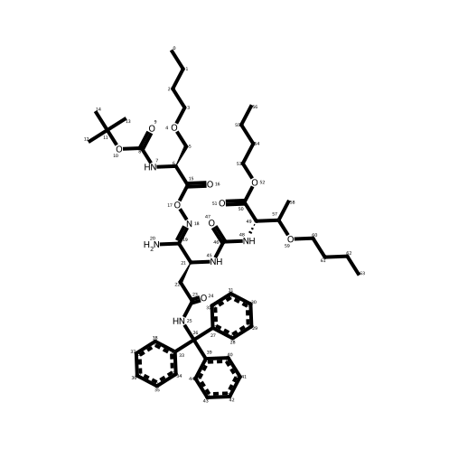 CCCCOC[C@H](NC(=O)OC(C)(C)C)C(=O)O/N=C(\N)[C@H](CC(=O)NC(c1ccccc1)(c1ccccc1)c1ccccc1)NC(=O)N[C@H](C(=O)OCCCC)C(C)OCCCC